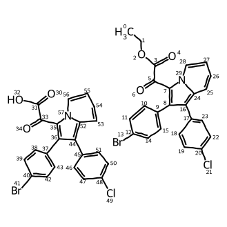 CCOC(=O)C(=O)c1c(-c2ccc(Br)cc2)c(-c2ccc(Cl)cc2)c2ccccn12.O=C(O)C(=O)c1c(-c2ccc(Br)cc2)c(-c2ccc(Cl)cc2)c2ccccn12